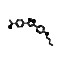 CCCCOc1ccc(-c2cc(-c3ccc(C(C)=O)cc3)no2)cc1